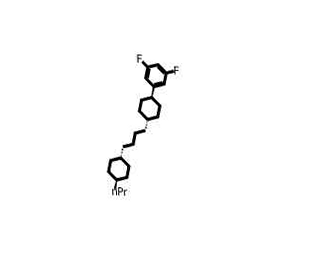 CCC[C@H]1CC[C@H](CCCC[C@H]2CC[C@H](c3cc(F)cc(F)c3)CC2)CC1